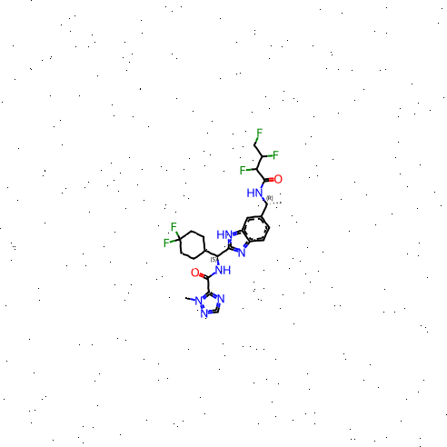 C[C@@H](NC(=O)C(F)C(F)CF)c1ccc2nc([C@@H](NC(=O)c3ncnn3C)C3CCC(F)(F)CC3)[nH]c2c1